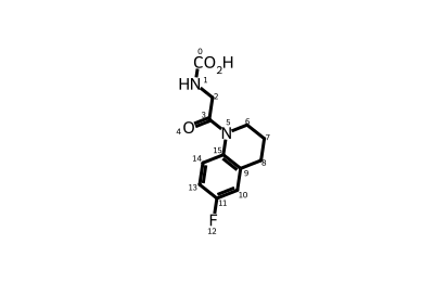 O=C(O)NCC(=O)N1CCCc2cc(F)ccc21